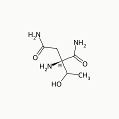 CC(O)[C@](N)(CC(N)=O)C(N)=O